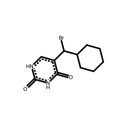 O=c1[nH]cc(C(Br)C2CCCCC2)c(=O)[nH]1